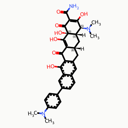 CN(C)c1ccc(-c2ccc3cc4c(c(O)c3c2)C(=O)C2=C(O)[C@]3(O)C(=O)C(C(N)=O)=C(O)[C@@H](N(C)C)[C@@H]3C[C@@H]2C4)cc1